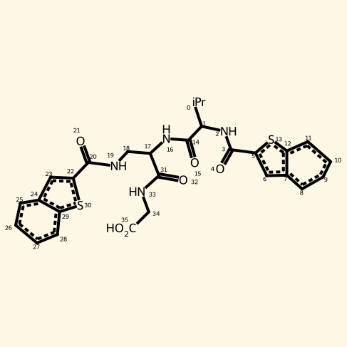 CC(C)C(NC(=O)c1cc2ccccc2s1)C(=O)NC(CNC(=O)c1cc2ccccc2s1)C(=O)NCC(=O)O